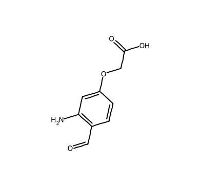 Nc1cc(OCC(=O)O)ccc1C=O